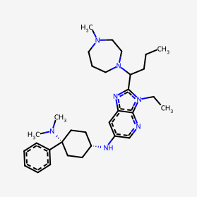 CCCC(c1nc2cc(N[C@H]3CC[C@@](c4ccccc4)(N(C)C)CC3)cnc2n1CC)N1CCCN(C)CC1